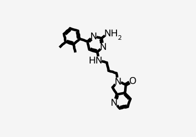 Cc1cccc(-c2cc(NCCCN3Cc4ncccc4C3=O)nc(N)n2)c1C